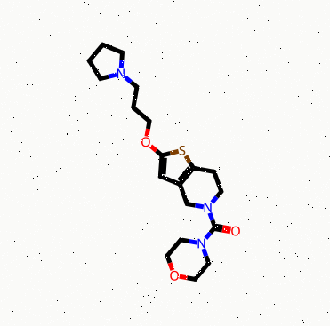 O=C(N1CCOCC1)N1CCc2sc(OCCCN3CCCC3)cc2C1